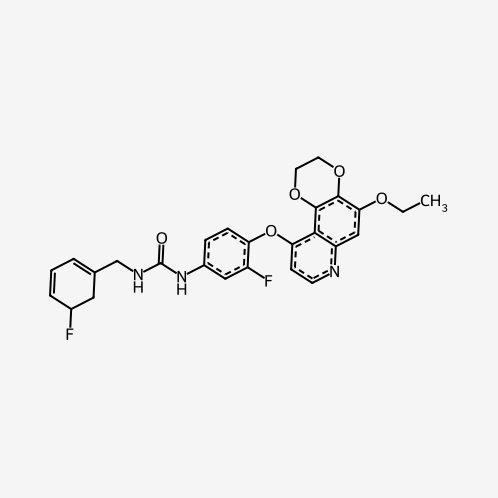 CCOc1cc2nccc(Oc3ccc(NC(=O)NCC4=CC=CC(F)C4)cc3F)c2c2c1OCCO2